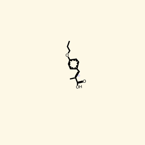 CCCOc1ccc(/C=C(\C)C(=O)O)cc1